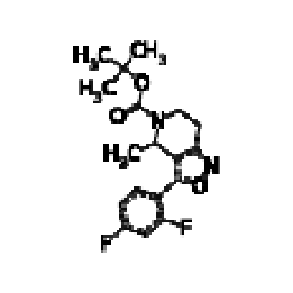 CC1c2c(noc2-c2ccc(F)cc2F)CCN1C(=O)OC(C)(C)C